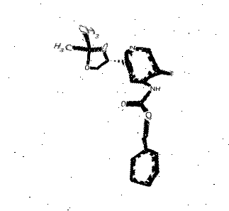 CC1(C)OC[C@@H](c2cc(NC(=O)OCc3ccccc3)c(F)cn2)O1